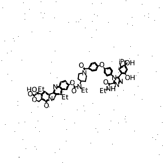 CCNC(=O)c1nnc(-c2cc(C(C)C)c(O)cc2O)n1-c1ccc(Oc2ccc(C(=O)N3CCC(N(CC)C(=O)Oc4ccc5nc6c(c(CC)c5c4)Cn4c-6cc5c(c4=O)COC(=O)[C@]5(O)CC)CC3)cc2)cc1